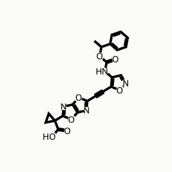 CC(OC(=O)Nc1cnoc1C#Cc1nc2oc(C3(C(=O)O)CC3)nc2o1)c1ccccc1